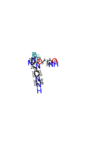 O=C1C[C@@H](CCOc2nc(-c3ccc(N4CCNCC4)cc3)cc3ncn(C(F)F)c23)CN1